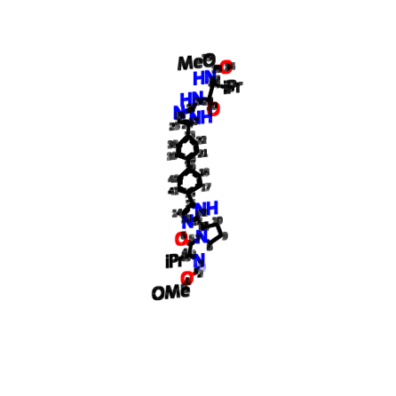 COO/C=N\[C@H](C(=O)N1CCC[C@H]1c1ncc(-c2ccc(-c3ccc(-c4cnc(NC(=O)[C@@H](NC(=O)OC)C(C)C)[nH]4)cc3)cc2)[nH]1)C(C)C